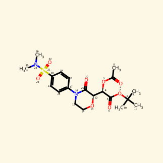 CC(=O)O[C@@H](C(=O)OC(C)(C)C)[C@H]1OCCN(c2ccc(S(=O)(=O)N(C)C)cc2)C1=O